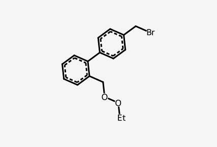 CCOOCc1ccccc1-c1ccc(CBr)cc1